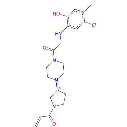 C=CC(=O)N1CC[C@H](N2CCN(C(=O)CNc3cc(Cl)c(C)cc3O)CC2)C1